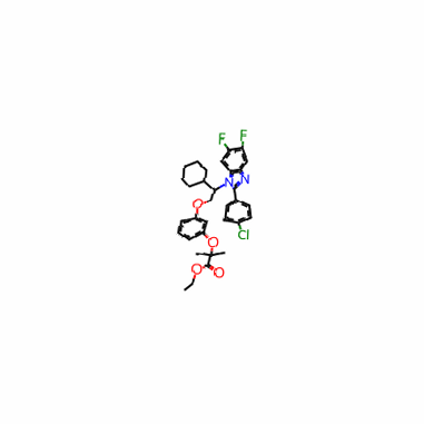 CCOC(=O)C(C)(C)Oc1cccc(OCC(C2CCCCC2)n2c(-c3ccc(Cl)cc3)nc3cc(F)c(F)cc32)c1